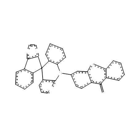 O=c1c2ccccc2sc2cc(N3c4ccccc4C4(c5ccccc5-c5ccccc54)c4ccccc43)ccc12